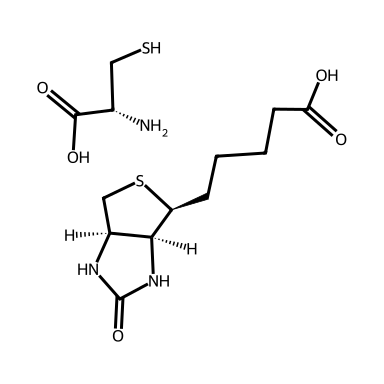 N[C@@H](CS)C(=O)O.O=C(O)CCCC[C@@H]1SC[C@@H]2NC(=O)N[C@@H]21